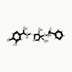 O=C(NC[C@]1(O)CO[C@H](CNC(O)c2ccc(Cl)c(Cl)c2)[C@H]1O)c1ccccc1